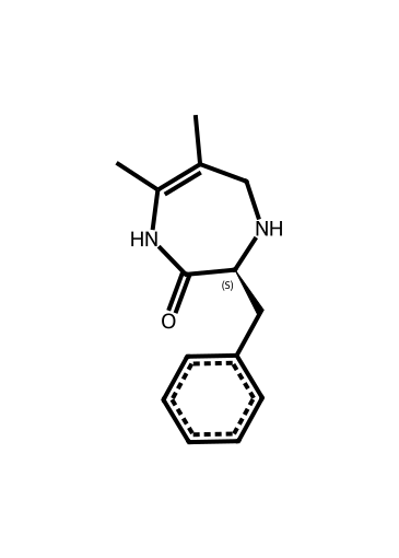 CC1=C(C)NC(=O)[C@H](Cc2ccccc2)NC1